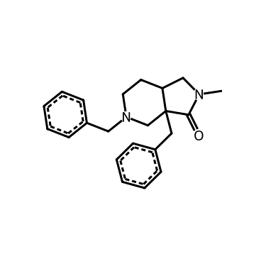 CN1CC2CCN(Cc3ccccc3)CC2(Cc2ccccc2)C1=O